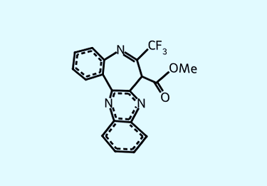 COC(=O)C1C(C(F)(F)F)=Nc2ccccc2-c2nc3ccccc3nc21